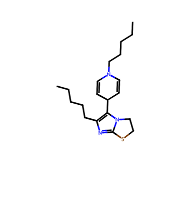 CCCCCc1nc2n(c1C1C=CN(CCCCC)C=C1)CCS2